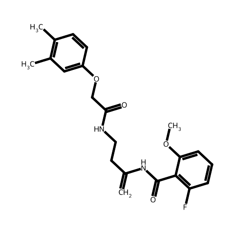 C=C(CCNC(=O)COc1ccc(C)c(C)c1)NC(=O)c1c(F)cccc1OC